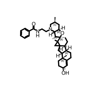 C[C@H]1C[C@H]2O[C@]3(CC[C@H]4[C@@H]5CCC6=C[C@@H](O)CC[C@]6(C)[C@H]5CC45CC53C)[C@H](C)[C@@H]2N(CCNC(=O)c2ccccc2)C1